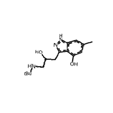 Cc1cc(O)c2c(CC(O)CNC(C)(C)C)n[nH]c2c1